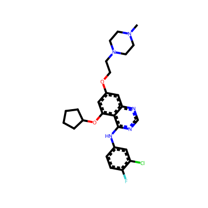 CN1CCN(CCOc2cc(OC3CCCC3)c3c(Nc4ccc(F)c(Cl)c4)ncnc3c2)CC1